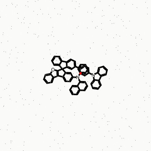 c1ccc(N(c2ccc3c(c2)C2(c4ccccc4-c4ccc(-c5ccc(-n6c7ccccc7c7ccccc76)cc5)cc42)c2oc4ccccc4c2-3)c2cccc3ccccc23)cc1